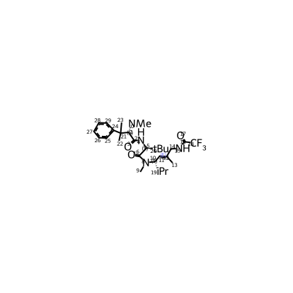 CN[C@H](C(=O)N[C@H](C(=O)N(C)[C@H](/C=C(\C)CNC(=O)C(F)(F)F)C(C)C)C(C)(C)C)C(C)(C)c1ccccc1